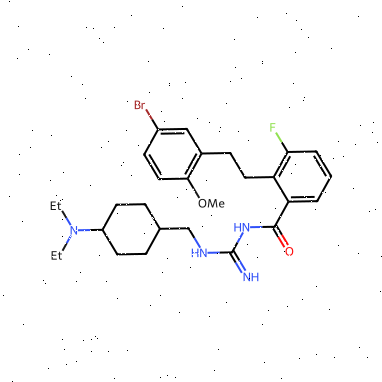 CCN(CC)C1CCC(CNC(=N)NC(=O)c2cccc(F)c2CCc2cc(Br)ccc2OC)CC1